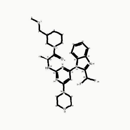 COCC1CCCN(C(=O)[C@H](C)Nc2nc(N3CCOCC3)cc(-n3c(C(F)F)nc4ccccc43)n2)C1